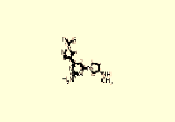 CN[C@@H]1CCN(c2cc(-c3cnn(C(F)F)c3)nc(N)n2)C1